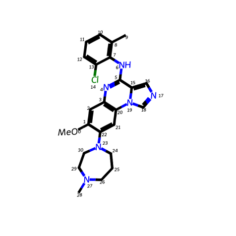 COc1cc2nc(Nc3c(C)cccc3Cl)c3cncn3c2cc1N1CCCN(C)CC1